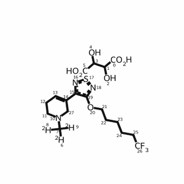 O=C(O)C(O)C(O)C(=O)O.[2H]C([2H])([2H])N1CCC=C(c2nsnc2OCCCCCC(F)(F)F)C1